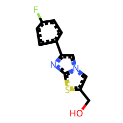 OCc1cn2cc(-c3ccc(F)cc3)nc2s1